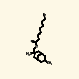 CC1CC2CC(C1)CC(C)(COC(=O)CCCCCCCBr)C2